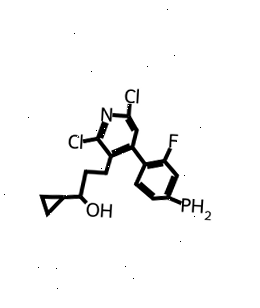 OC(CCc1c(-c2ccc(P)cc2F)cc(Cl)nc1Cl)C1CC1